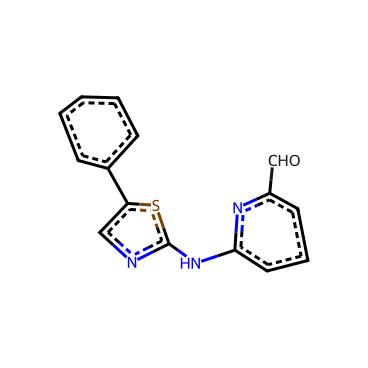 O=Cc1cccc(Nc2ncc(-c3ccccc3)s2)n1